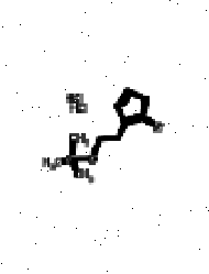 C[Si](C)(C)OCCC1=[C]([Zr])CC=C1.Cl.Cl